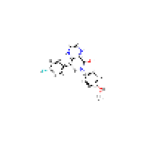 O=c1c2nccnc2c(-c2ccc(F)cc2)cn1-c1ccc(OC(F)(F)F)cc1